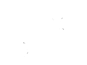 CCN1c2ccc(-c3cccc4c3C[C@H](C)[C@@H]4C)cc2[C@H](C)[C@@H]1C